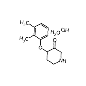 Cc1cccc(OC2CCNCC2=O)c1C.Cl.O